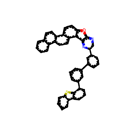 c1cc(-c2cccc(-c3cccc4c3sc3ccccc34)c2)cc(-c2cnc3oc4ccc5c6ccc7ccccc7c6ccc5c4c3n2)c1